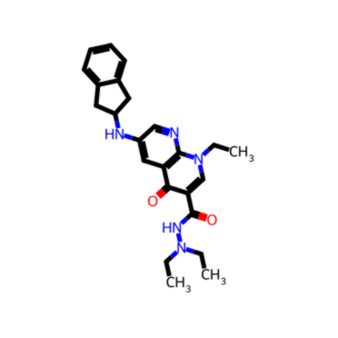 CCN(CC)NC(=O)c1cn(CC)c2ncc(NC3Cc4ccccc4C3)cc2c1=O